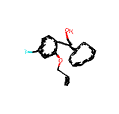 C=CCOc1cc(F)ccc1C(O)c1ccccc1